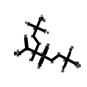 CC(CCC(F)(F)C(F)(F)F)(C(N)=O)S(=O)(=O)CCC(F)(F)C(F)(F)F